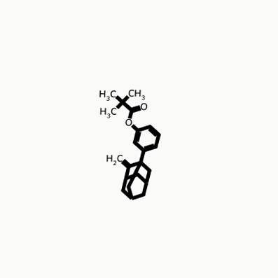 C=C1C2CC3CC(C2)CC1(c1cccc(OC(=O)C(C)(C)C)c1)C3